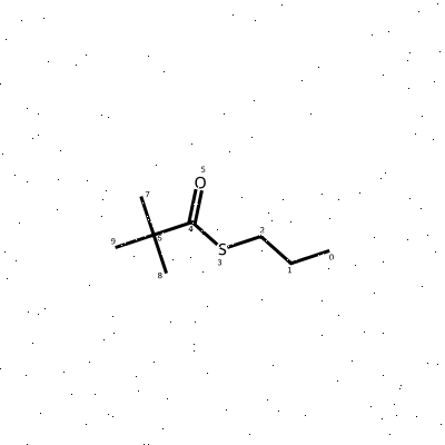 CCCSC(=O)C(C)(C)C